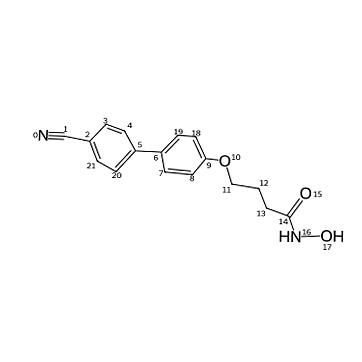 N#Cc1ccc(-c2ccc(OCCCC(=O)NO)cc2)cc1